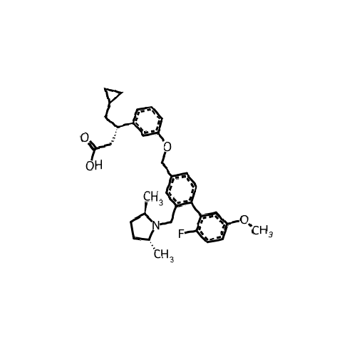 COc1ccc(F)c(-c2ccc(COc3cccc([C@H](CC(=O)O)CC4CC4)c3)cc2CN2[C@H](C)CC[C@H]2C)c1